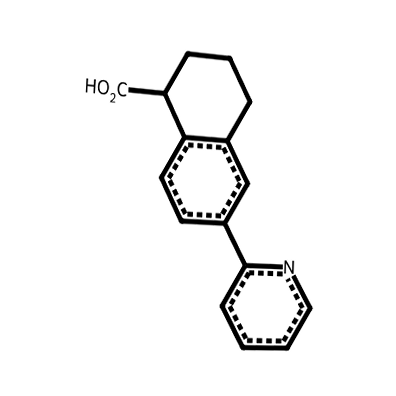 O=C(O)C1CCCc2cc(-c3ccccn3)ccc21